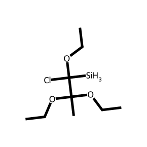 CCOC([SiH3])(Cl)C(C)(OCC)OCC